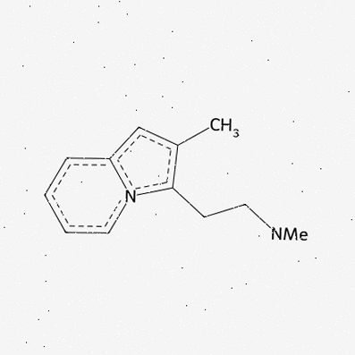 CNCCc1c(C)cc2ccccn12